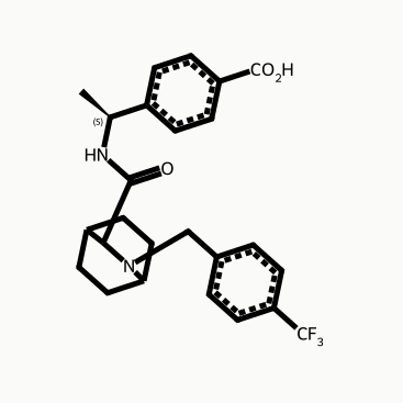 C[C@H](NC(=O)C1C2CCC(CC2)N1Cc1ccc(C(F)(F)F)cc1)c1ccc(C(=O)O)cc1